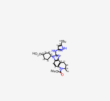 COC(=O)N1c2ccc3c(nc(Nc4cc(C(C)(C)C)[nH]n4)n3C3CCC(C(=O)O)CC3)c2CCC1C